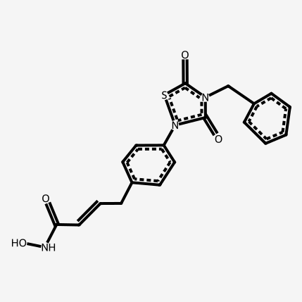 O=C(/C=C/Cc1ccc(-n2sc(=O)n(Cc3ccccc3)c2=O)cc1)NO